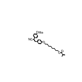 C=C(C)C(=O)OCCCCCCCCOc1ccc(C=C(C#N)c2ccc(OC)cc2)cc1